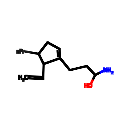 C=CC1C(CCC(N)O)=CCC1CCC